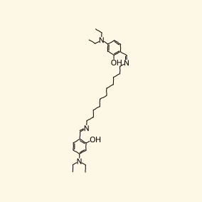 CCN(CC)c1ccc(/C=N\CCCCCCCCCCC/N=C/c2ccc(N(CC)CC)cc2O)c(O)c1